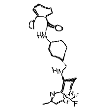 CC1=CC(C)=NC2=C(NC[C@H]3CC[C@H](NC(=O)c4ccccc4Cl)CC3)C=N[N+]12C(F)(F)F